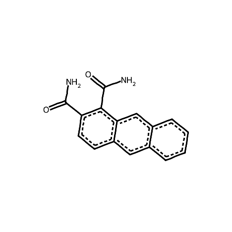 NC(=O)c1ccc2cc3ccccc3cc2c1C(N)=O